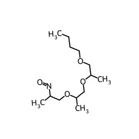 CCCCOCC(C)OCC(C)OCC(C)N=O